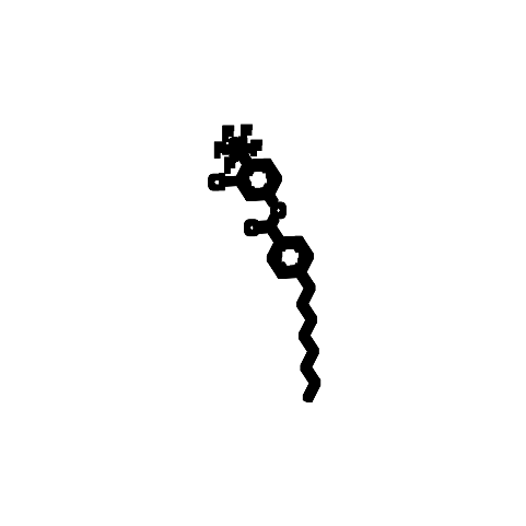 CCCCCCCCc1ccc(C(=O)Oc2ccc(S(F)(F)(F)(F)F)c(Cl)c2)cc1